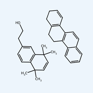 C1=CC2=C(CC1)CCc1c2ccc2ccccc12.CC1(C)C=CC(C)(C)c2cc(CCO)ccc21